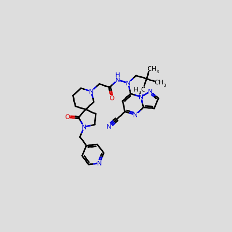 CC(C)(C)CN(NC(=O)CN1CCCC2(CCN(Cc3ccncc3)C2=O)C1)c1cc(C#N)nc2ccnn12